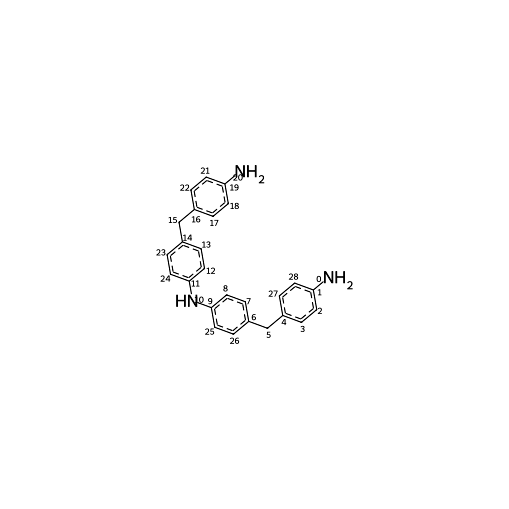 Nc1ccc(Cc2ccc(Nc3ccc(Cc4ccc(N)cc4)cc3)cc2)cc1